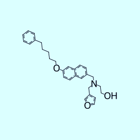 OCCN(Cc1ccoc1)Cc1ccc2cc(OCCCCCc3ccccc3)ccc2c1